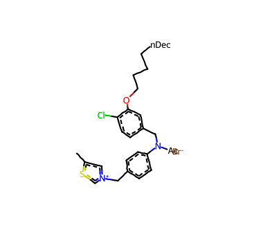 CCCCCCCCCCCCCCOc1cc(CN(C(C)=O)c2ccc(C[n+]3csc(C)c3)cc2)ccc1Cl.[Br-]